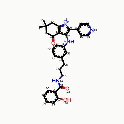 CC1(C)CC(=O)c2c([nH]c(-c3ccncc3)c2Nc2cccc(CCCNC(=O)c3ccccc3O)c2)C1